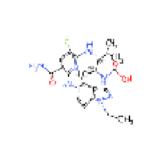 CCn1ncc2cc(Nc3nc(N[C@H](C(C)C)[C@H](C)NC(=O)O)c(F)cc3C(N)=O)ccc21